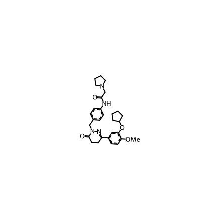 COc1ccc(C2=NN(Cc3ccc(NC(=O)CN4CCCC4)cc3)C(=O)CC2)cc1OC1CCCC1